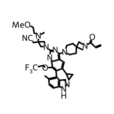 C=CC(=O)N1CC2(CCN(c3nc(N4CC(CC#N)(N(C)CCOC)C4)nc4c(OCC(F)(F)F)c(-c5c(C)ccc6[nH]ncc56)c(C5CC5)cc34)CC2)C1